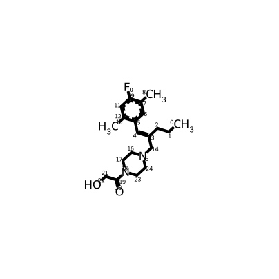 CCC/C(=C\c1cc(C)c(F)cc1C)CN1CCN(C(=O)CO)CC1